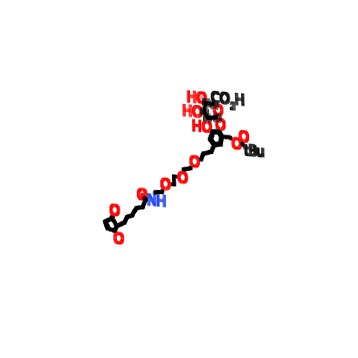 CC(C)(C)C(=O)OCc1cc(CCCOCCOCCOCCNC(=O)CCCCCC2C(=O)C=CC2=O)ccc1O[C@@H]1O[C@H](C(=O)O)[C@@H](O)[C@H](O)[C@H]1O